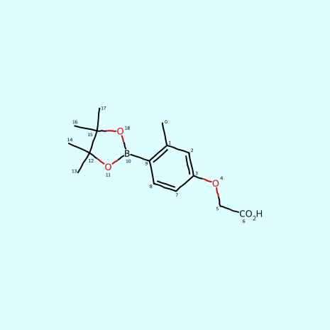 Cc1cc(OCC(=O)O)ccc1B1OC(C)(C)C(C)(C)O1